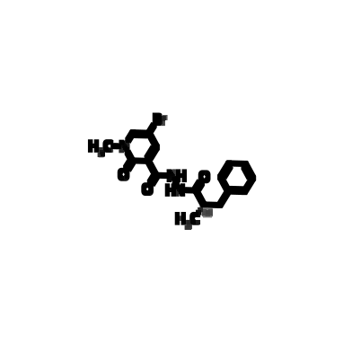 C[C@@H](Cc1ccccc1)C(=O)NNC(=O)c1cc(Br)cn(C)c1=O